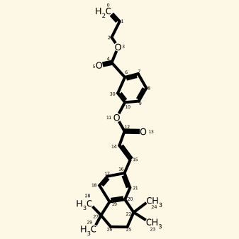 C=CCOC(=O)c1cccc(OC(=O)/C=C/c2ccc3c(c2)C(C)(C)CCC3(C)C)c1